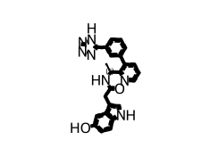 C[C@H](NC(=O)Cc1c[nH]c2ccc(O)cc12)c1ncccc1-c1cccc(-c2nnn[nH]2)c1